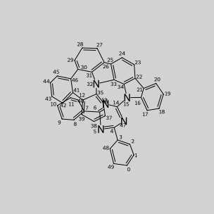 c1ccc(-c2nc(-c3ccccc3)nc(-n3c4ccccc4c4ccc5c6cccc7c6n(c5c43)-c3ccccc3-c3ccccc3-7)n2)cc1